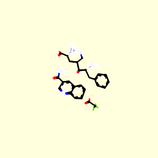 NC(=O)c1cnc2ccccc2c1.NCC(C[C@H](N)C(=O)O)C(=O)[C@@H](N)Cc1ccccc1.O=C(O)C(F)(F)F